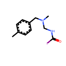 Cc1ccc(CN(C)CNC(=O)I)cc1